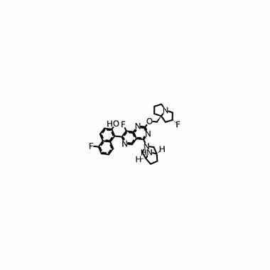 Oc1ccc2c(F)cccc2c1-c1ncc2c(N3C[C@H]4CC[C@@H](C3)N4)nc(OC[C@@]34CCCN3C[C@H](F)C4)nc2c1F